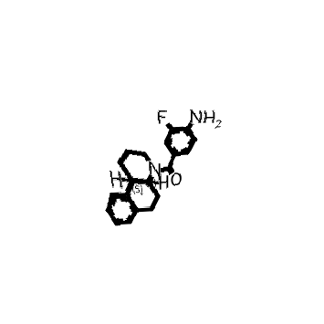 Nc1ccc(C(=O)N2CCC[C@H]3c4ccccc4CC[C@H]32)cc1F